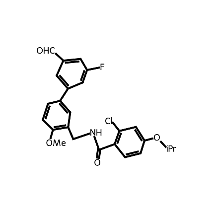 COc1ccc(-c2cc(F)cc(C=O)c2)cc1CNC(=O)c1ccc(OC(C)C)cc1Cl